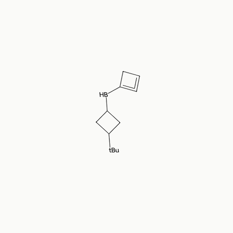 CC(C)(C)C1CC(BC2=C=CC2)C1